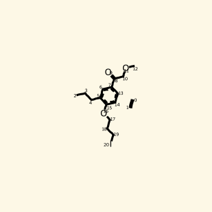 C=C.CCCc1cc(C(=O)COC)ccc1OCCCI